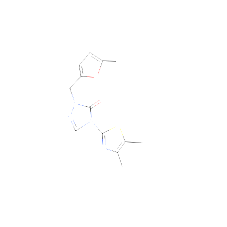 CCOC(=O)c1sc(-n2cnn(Cc3ccc(C(F)(F)F)o3)c2=O)nc1C